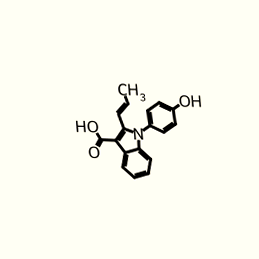 CC=Cc1c(C(=O)O)c2ccccc2n1-c1ccc(O)cc1